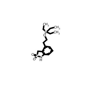 CC[Si](CC)(CC)OCCc1cccc2c1CS(=O)(=O)N2